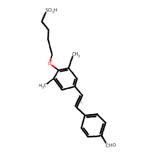 Cc1cc(/C=C/c2ccc(C=O)cc2)cc(C)c1OCCCCS(=O)(=O)O